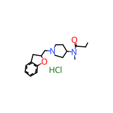 CCC(=O)N(C)C1CCN(CC2Cc3ccccc3O2)CC1.Cl